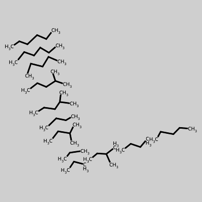 CCC.CCC.CCC(C)C.CCC(C)C.CCCC.CCCC.CCCC(C)C.CCCC(C)C.CCCCC.CCCCC.CCCCCC.CCCCCC